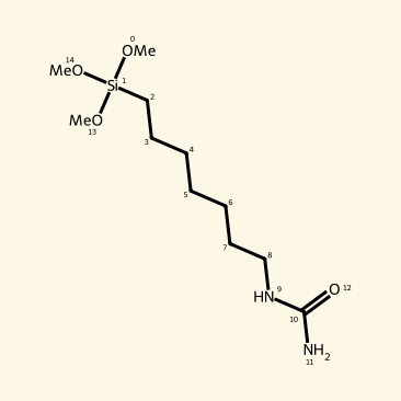 CO[Si](CCCCCCCNC(N)=O)(OC)OC